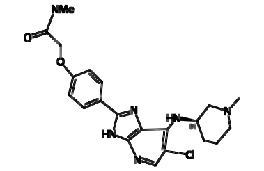 CNC(=O)COc1ccc(-c2nc3c(N[C@@H]4CCCN(C)C4)c(Cl)cnc3[nH]2)cc1